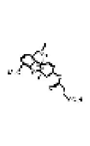 COc1ccc2c3c1O[C@H]1CC(OC(=O)CCC(=O)O)C=C[C@@]31CCN(C)C2